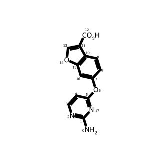 Nc1nccc(Oc2ccc3c(C(=O)O)coc3c2)n1